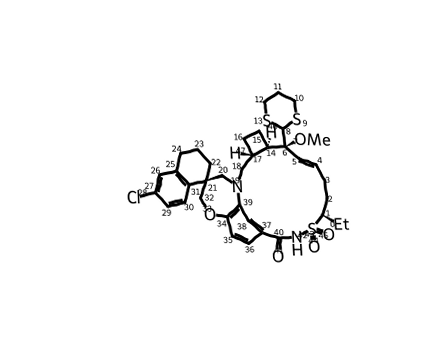 CC[C@@H]1CC/C=C/[C@@](OC)(C2SCCCS2)[C@@H]2CC[C@H]2CN2C[C@@]3(CCCc4cc(Cl)ccc43)COc3ccc(cc32)C(=O)NS1(=O)=O